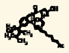 C=CS/C(=C(/C)C(=C)C)c1ccc(CNC(=O)[C@@H]2C[C@@H](O)CN2C(=O)CC(C)(C)C)c(OCCCCCCCCC(C)=O)c1